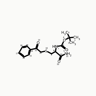 CC(C)(C)OC(=O)NC(CSCC(=O)c1ccccc1)C(N)=O